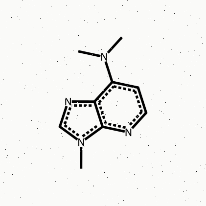 CN(C)c1ccnc2c1ncn2C